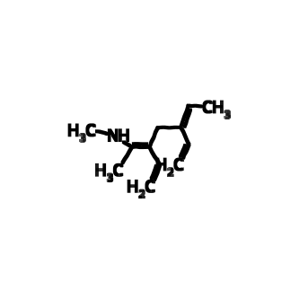 C=C/C(=C\C)C/C(C=C)=C(/C)NC